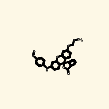 COCOc1ccc2c(c1)Oc1cc(Nc3ccc(N=O)cc3)ccc1C21OC(=O)c2ccccc21